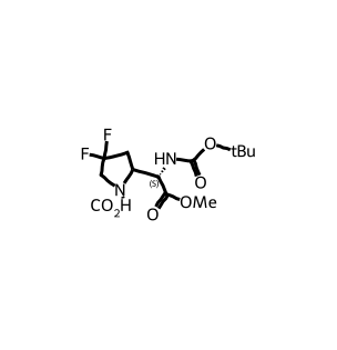 COC(=O)[C@@H](NC(=O)OC(C)(C)C)C1CC(F)(F)CN1C(=O)O